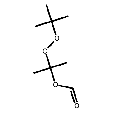 CC(C)(C)OOC(C)(C)OC=O